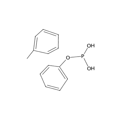 Cc1ccccc1.OP(O)Oc1ccccc1